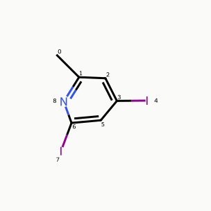 Cc1cc(I)cc(I)n1